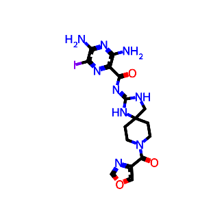 Nc1nc(N)c(C(=O)/N=C2\NCC3(CCN(C(=O)c4cocn4)CC3)N2)nc1I